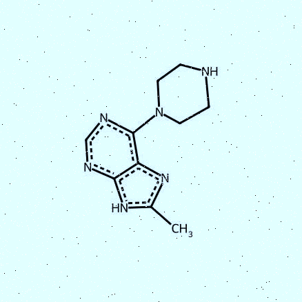 Cc1nc2c(N3CCNCC3)ncnc2[nH]1